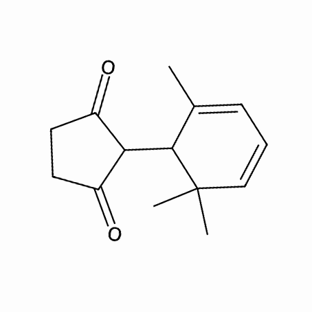 CC1=CC=CC(C)(C)C1C1C(=O)CCC1=O